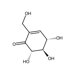 O=C1C(CO)=C[C@H](O)[C@@H](O)[C@@H]1O